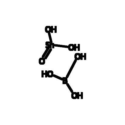 OB(O)O.[O]=[Sn]([OH])[OH]